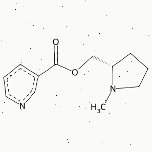 CN1CCC[C@H]1COC(=O)c1cccnc1